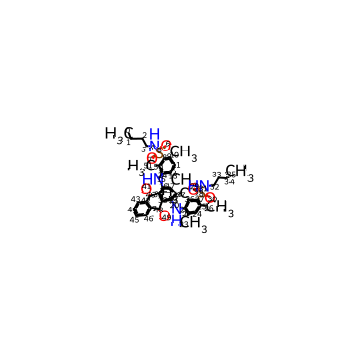 CCCCNS(=O)(=O)c1c(C)cc(C)c(Nc2ccc(Nc3c(C)cc(C)c(S(=O)(=O)NCCCC)c3C)c3c2C(=O)c2ccccc2C3=O)c1C